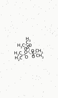 C=C(C)C(=O)OC(CS(=O)(=O)C(C)C)CS(=O)(=O)C(C)C